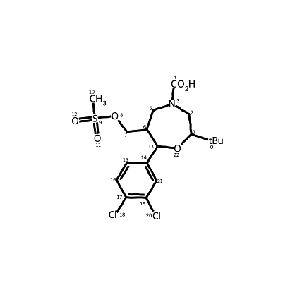 CC(C)(C)C1CN(C(=O)O)CC(COS(C)(=O)=O)C(c2ccc(Cl)c(Cl)c2)O1